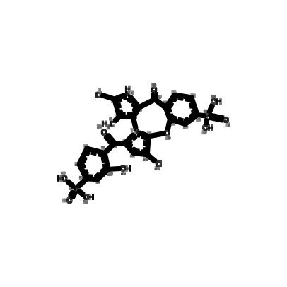 Cc1c(Cl)[nH]c2c1-n1c(C(=O)c3ccc(P(=O)(O)O)cc3O)cc(Cl)c1Oc1cc(P(=O)(O)O)ccc1C2=O